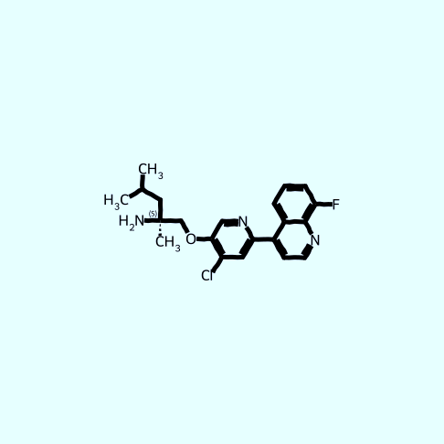 CC(C)C[C@](C)(N)COc1cnc(-c2ccnc3c(F)cccc23)cc1Cl